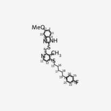 COc1ccc2[nH]c(SCc3nccc(SCCCCCc4ccc(F)cc4)c3C)nc2c1